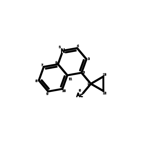 CC(=O)C1(c2ccnc3ccccc23)CC1